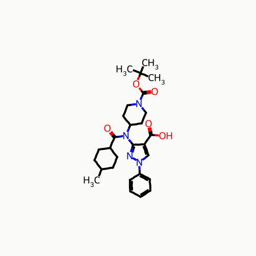 CC1CCC(C(=O)N(c2nn(-c3ccccc3)cc2C(=O)O)C2CCN(C(=O)OC(C)(C)C)CC2)CC1